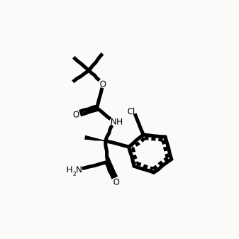 CC(C)(C)OC(=O)N[C@@](C)(C(N)=O)c1ccccc1Cl